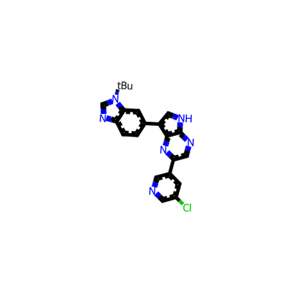 CC(C)(C)n1cnc2ccc(-c3c[nH]c4ncc(-c5cncc(Cl)c5)nc34)cc21